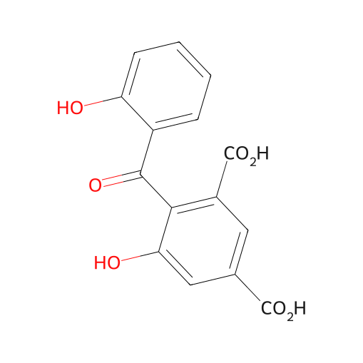 O=C(O)c1cc(O)c(C(=O)c2ccccc2O)c(C(=O)O)c1